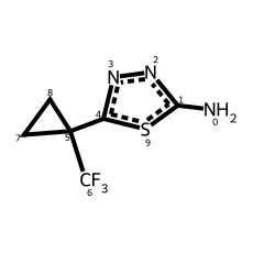 Nc1nnc(C2(C(F)(F)F)CC2)s1